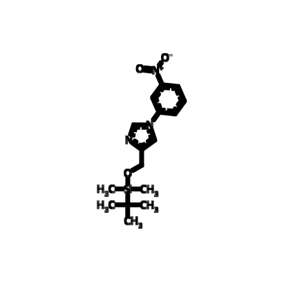 CC(C)(C)[Si](C)(C)OCc1cn(-c2cccc([N+](=O)[O-])c2)cn1